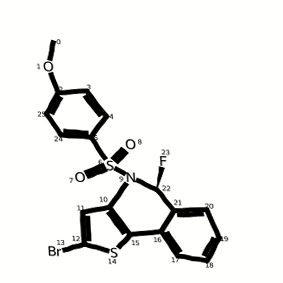 COc1ccc(S(=O)(=O)N2c3cc(Br)sc3-c3ccccc3[C@@H]2F)cc1